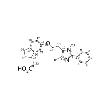 Cc1nc(-c2ccccc2)n(C)c1CCOc1ccc2c(c1)[C@H](CC(=O)O)CC2